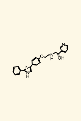 O[C@@H](CNCCOc1ccc(-c2c[nH]c(-c3ccccc3)n2)cc1)c1cccnc1